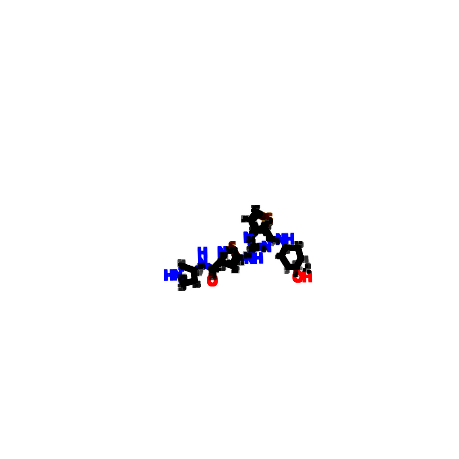 C[C@]1(O)CC[C@H](Nc2nc(Nc3cc(C(=O)N[C@@H]4CCNC4)ns3)nc3ccsc23)CC1